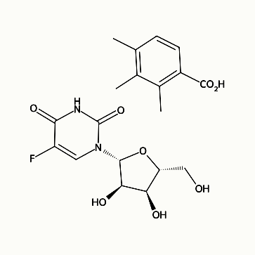 Cc1ccc(C(=O)O)c(C)c1C.O=c1[nH]c(=O)n([C@@H]2O[C@H](CO)[C@@H](O)[C@H]2O)cc1F